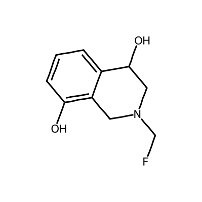 Oc1cccc2c1CN(CF)CC2O